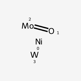 [Ni].[O]=[Mo].[W]